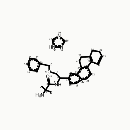 CC(C)(N)C(=O)NC(COCc1ccccc1)c1ccc2ccc3c(c2c1)CCC1=C3C=CCC1.c1nc[nH]n1